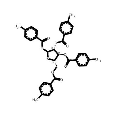 Cc1ccc(C(=O)OC[C@@H]2SC(OC(=O)c3ccc(C)cc3)[C@H](OC(=O)c3ccc(C)cc3)[C@H]2OC(=O)c2ccc(C)cc2)cc1